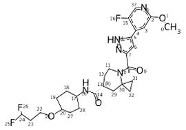 COc1cc(-c2cc(C(=O)N3CC[C@@H](C(=O)NC4CCC(OCCC(F)F)CC4)CC34CC4)n[nH]2)c(F)cn1